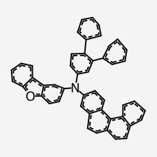 c1ccc(-c2ccc(N(c3ccc4c(ccc5ccc6ccccc6c54)c3)c3ccc4oc5ccccc5c4c3)cc2-c2ccccc2)cc1